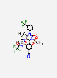 [C-]#[N+]C1=C(C)N(c2cccc(C(F)(F)F)c2)C(=O)N(S(C)(=O)=O)[C@@H]1c1ccc(C#N)cc1[S@](C)(=O)=NC(=O)C(F)(F)F